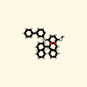 COc1ccc(N(c2cccc(-c3ccccc3)c2)c2ccc3ccccc3c2-c2cccc3ccccc23)cc1